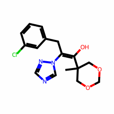 CC1(/C(O)=C(/Cc2cccc(Cl)c2)n2cncn2)COCOC1